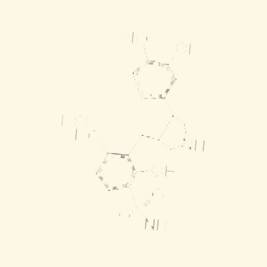 Cl.NS(=O)(=O)c1ccc(O)c(CC2CNCC2c2ccc(O)c(O)c2)c1O